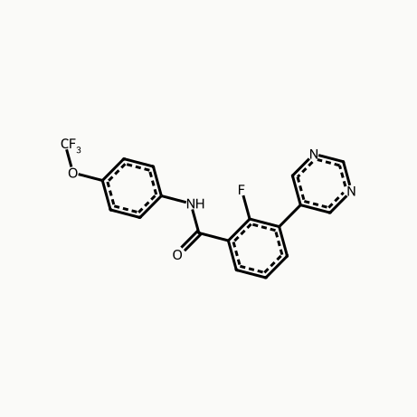 O=C(Nc1ccc(OC(F)(F)F)cc1)c1cccc(-c2cncnc2)c1F